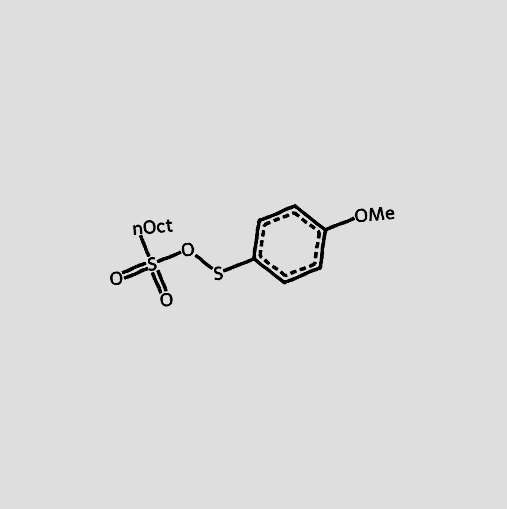 CCCCCCCCS(=O)(=O)OSc1ccc(OC)cc1